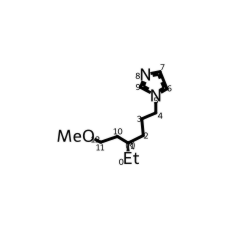 CC[C@H](CCCn1ccnc1)CCOC